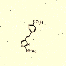 CC(=O)Nc1nc(/C=C/c2ccc(C(=O)O)cc2)cs1